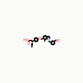 CC#C[C@@H](CC(=O)O)c1ccc(OCc2ccc3ccn(Cc4cccc(COC)c4)c3c2C)cc1